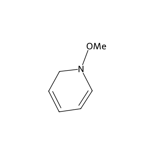 CON1C=CC=CC1